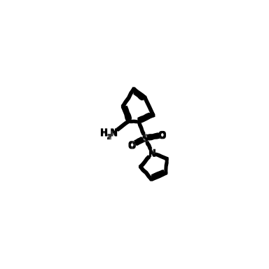 Nc1ccccc1S(=O)(=O)N1CC=CC1